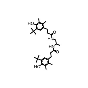 Cc1c(CCC(=O)NCC(C)NC(=O)CCc2cc(C(C)(C)C)c(O)c(C)c2C)cc(C(C)(C)C)c(O)c1C